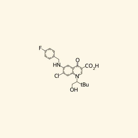 CC(C)(C)C(CO)n1cc(C(=O)O)c(=O)c2cc(NCc3ccc(F)cc3)c(Cl)cc21